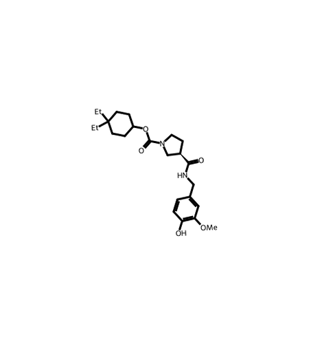 CCC1(CC)CCC(OC(=O)N2CC[C@@H](C(=O)NCc3ccc(O)c(OC)c3)C2)CC1